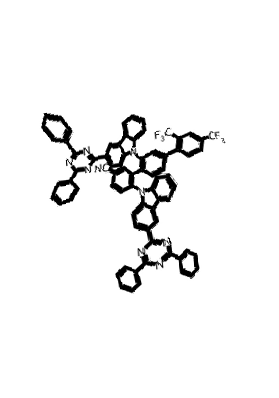 N#Cc1ccc(-n2c3ccccc3c3cc(-c4nc(-c5ccccc5)nc(-c5ccccc5)n4)ccc32)c(-c2ccc(-c3ccc(C(F)(F)F)cc3C(F)(F)F)cc2-n2c3ccccc3c3cc(-c4nc(-c5ccccc5)nc(-c5ccccc5)n4)ccc32)c1